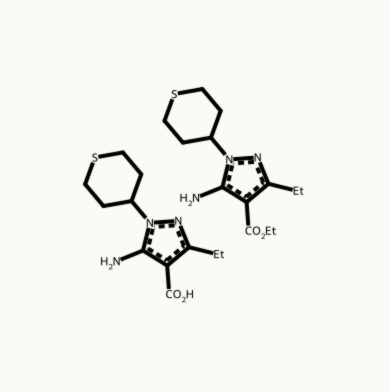 CCOC(=O)c1c(CC)nn(C2CCSCC2)c1N.CCc1nn(C2CCSCC2)c(N)c1C(=O)O